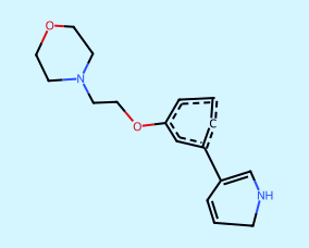 C1=CC(c2cccc(OCCN3CCOCC3)c2)=CNC1